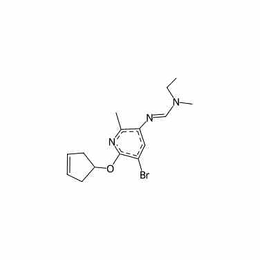 CCN(C)/C=N/c1cc(Br)c(OC2CC=CC2)nc1C